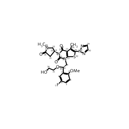 COc1ccc(F)cc1[C@H](Cn1c(=O)n([C@H]2CC(=O)N(C)C2)c(=O)c2c(C)c(-n3nccn3)sc21)OCCO